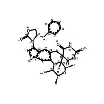 C[C@@H]1O[C@H](C)[C@@H]2N(c3cc4onc(N5C(=O)OC[C@@H]5Cc5ccccc5)c4cc3CC23C(=O)NC(=O)NC3=O)C1F